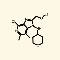 CCOCc1nc2c(Cl)nc(C)c(C)c2n1NC1CCOCC1